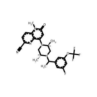 CC(c1cc(F)cc(OC(F)(F)F)c1)N1C[C@H](C)N(c2cc(=O)n(C)c3ccc(C#N)nc23)C[C@H]1C